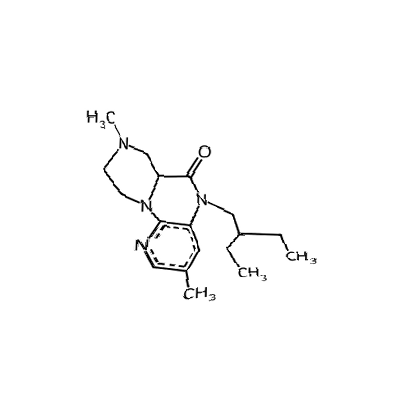 CCC(CC)CN1C(=O)C2CN(C)CCN2c2ncc(C)cc21